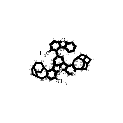 Cc1ccc2oc3ccccc3c2c1-c1cc2c3c4c(ncc3n3c5c(C)cc6c(c5c(c1)c23)C1CC2CCC(C6)C(C2)C1)C1CC2CC3CC4CC23C1